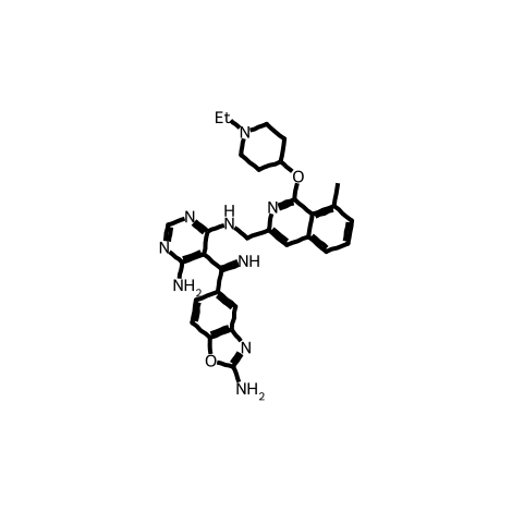 CCN1CCC(Oc2nc(CNc3ncnc(N)c3C(=N)c3ccc4oc(N)nc4c3)cc3cccc(C)c23)CC1